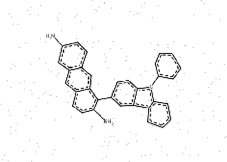 Nc1ccc2cc3c(-c4ccc5c(c4)c4ccccc4n5-c4ccccc4)c(N)ccc3cc2c1